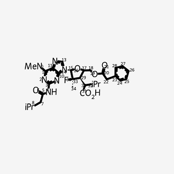 CNc1nc(NC(=O)CC(C)C)nc2c1ncn2[C@@H]1OC(COC(=O)Cc2ccccc2)[C@@H](C(C(=O)O)C(C)C)[C@@]1(C)F